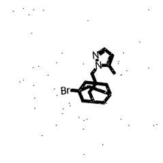 Cc1ccnn1CC12CC3CC(CC(Br)(C3)C1)C2